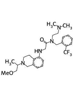 COCC(C)N1CCc2c(cccc2NCC(=O)N(CCN(C)C)Cc2ccccc2C(F)(F)F)C1